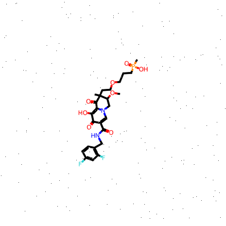 COC1Cn2cc(C(=O)NCc3ccc(F)cc3F)c(=O)c(O)c2C(=O)C1(C)CCOCCCP(C)(=O)O